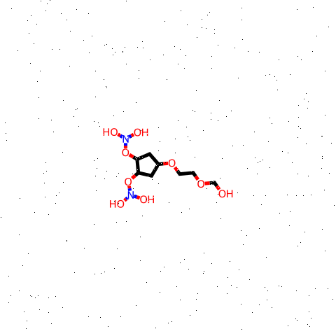 OCOCCOC1CC(ON(O)O)C(ON(O)O)C1